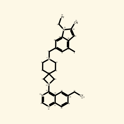 Cc1cc(CN2CCC3(CC2)CN(c2ncnc4ccc(CC(F)(F)F)cc24)C3)cc2c1cc(C#N)n2CC(C)C